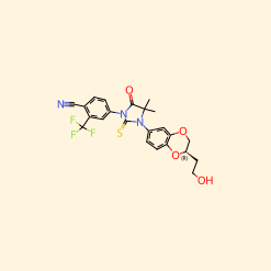 CC1(C)C(=O)N(c2ccc(C#N)c(C(F)(F)F)c2)C(=S)N1c1ccc2c(c1)OC[C@@H](CCO)O2